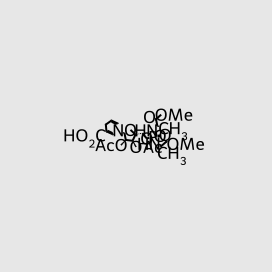 COC(=O)[C@H](C)NP(=O)(N[C@@H](C)C(=O)OC)OC[C@H]1O[C@@H](N2C=CCC(C(=O)O)=C2)[C@H](OC(C)=O)[C@@H]1OC(C)=O